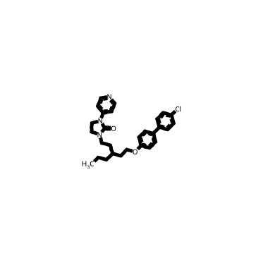 CCCC(CCOc1ccc(-c2ccc(Cl)cc2)cc1)CCN1CCN(c2ccncc2)C1=O